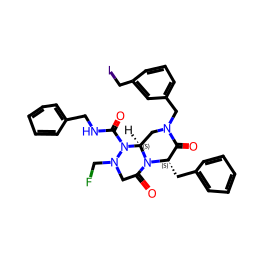 O=C1[C@H](Cc2ccccc2)N2C(=O)CN(CF)N(C(=O)NCc3ccccc3)[C@H]2CN1Cc1cccc(CI)c1